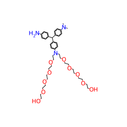 CN(C)c1ccc(C(c2ccc(N)cc2)c2ccc(N(CCOCCOCCOCCOCCO)CCOCCOCCOCCOCCO)cc2)cc1